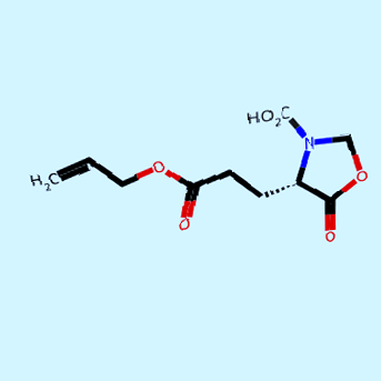 C=CCOC(=O)CC[C@H]1C(=O)OCN1C(=O)O